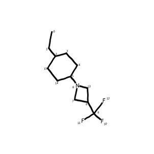 CCC1CCC(N2CC(C(F)(F)F)C2)CC1